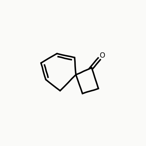 O=C1CCC12C=CC=CC2